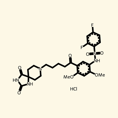 COc1cc(OC)c(C(=O)CCCCN2CCC3(CC2)NC(=O)NC3=O)cc1NS(=O)(=O)c1ccc(F)cc1F.Cl